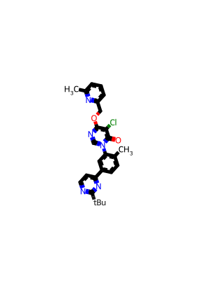 Cc1cccc(COc2ncn(-c3cc(-c4ccnc(C(C)(C)C)n4)ccc3C)c(=O)c2Cl)n1